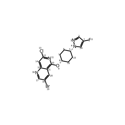 Fc1cnn([C@H]2CC[C@@H](Oc3nc(Cl)cc4ncc(Br)cc34)CC2)c1